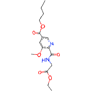 CCCCOC(=O)c1cnc(C(=O)NCC(=O)OCC)c(OC)c1